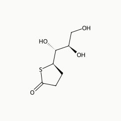 O=C1CC[C@H]([C@H](O)[C@H](O)CO)S1